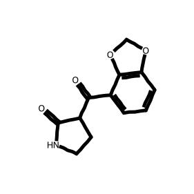 O=C1NCCC1C(=O)c1cccc2c1OCO2